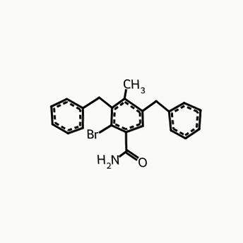 Cc1c(Cc2ccccc2)cc(C(N)=O)c(Br)c1Cc1ccccc1